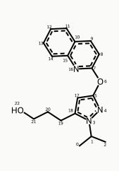 CC(C)n1nc(Oc2ccc3ccccc3n2)cc1CCCO